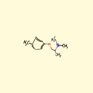 Cc1ccc(OCC(C)N(C)C)cc1